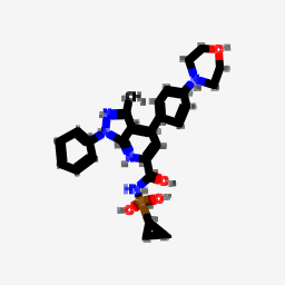 Cc1nn(-c2ccccc2)c2nc(C(=O)NS(=O)(=O)C3CC3)cc(-c3ccc(N4CCOCC4)cc3)c12